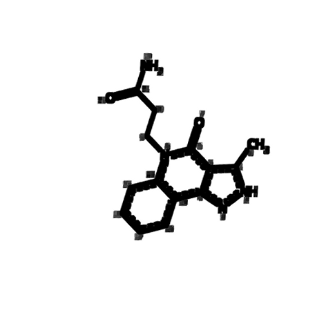 Cc1[nH]nc2c1c(=O)n(CCC(N)=O)c1ccccc21